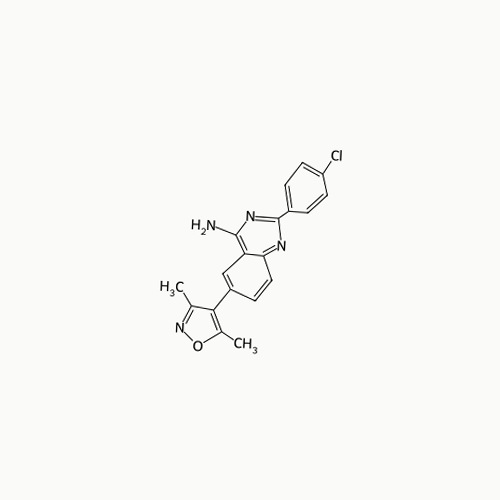 Cc1noc(C)c1-c1ccc2nc(-c3ccc(Cl)cc3)nc(N)c2c1